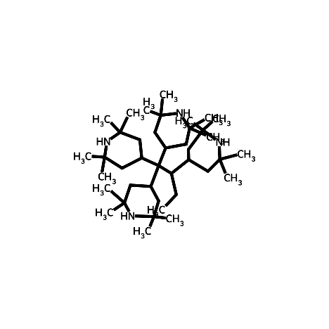 CCC(C1CC(C)(C)NC(C)(C)C1)C(C1CC(C)(C)NC(C)(C)C1)(C1CC(C)(C)NC(C)(C)C1)C1CC(C)(C)NC(C)(C)C1